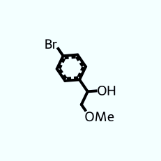 COCC(O)c1ccc(Br)cc1